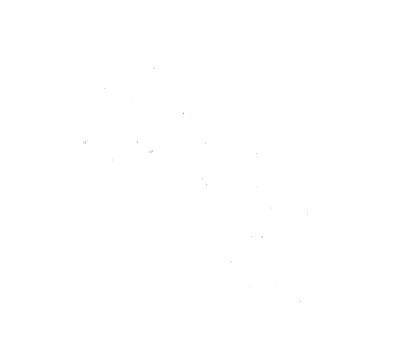 Cc1cccc(Cl)c1S(=O)(=O)Cc1cccc(C(=O)N2CCCCC2c2ccccc2)n1